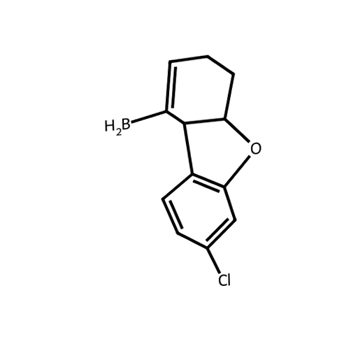 BC1=CCCC2Oc3cc(Cl)ccc3C12